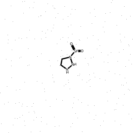 O=[SH](=O)N1CCNN1